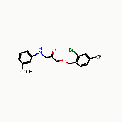 O=C(CNc1cccc(C(=O)O)c1)COCc1ccc(C(F)(F)F)cc1Br